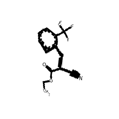 CCOC(=O)C(C#N)=Cc1ccccc1C(F)(F)F